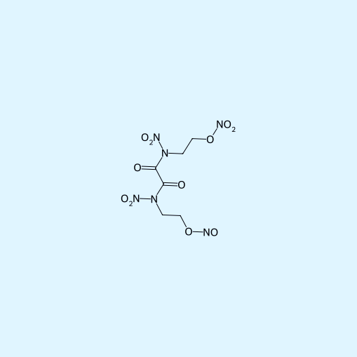 O=NOCCN(C(=O)C(=O)N(CCO[N+](=O)[O-])[N+](=O)[O-])[N+](=O)[O-]